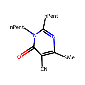 CCCCCc1nc(SC)c(C#N)c(=O)n1CCCCC